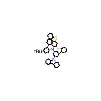 CC(C)(C)c1ccc(N2c3cc4c(cc3B3c5ccccc5-c5cc(-n6c7ccccc7c7ccccc76)cc2c53)sc2ccccc24)c(-c2ccccc2)c1